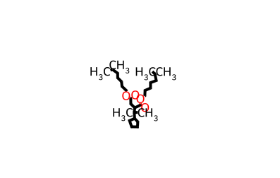 CC(C)CCCCCOC(=O)CC(C(=O)OCCCCCC(C)C)C(C)(C)C1CCCC1